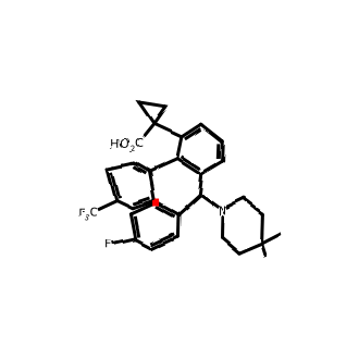 CC1(C)CCN(C(c2ccc(F)cc2)c2cccc(C3(C(=O)O)CC3)c2-c2ccc(C(F)(F)F)cc2)CC1